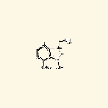 COc1cccc2c1B(O)OC2CN